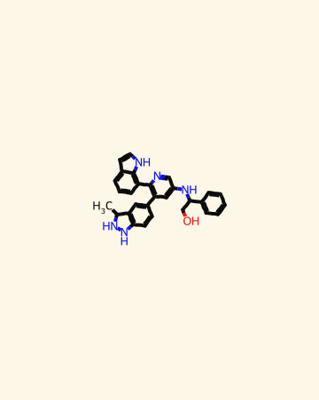 CC1NNc2ccc(-c3cc(NC(CO)c4ccccc4)cnc3-c3cccc4cc[nH]c34)cc21